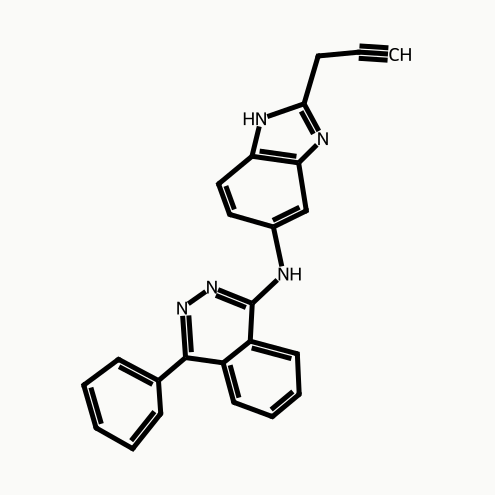 C#CCc1nc2cc(Nc3nnc(-c4ccccc4)c4ccccc34)ccc2[nH]1